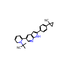 CC(C)(C#N)N1CC=CC=C1c1cnc2[nH]c(-c3ccc(C4(C#N)CC4)cc3)cc2c1